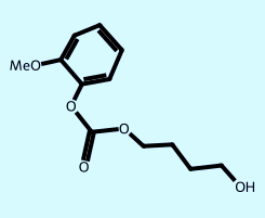 COc1ccccc1OC(=O)OCCCCO